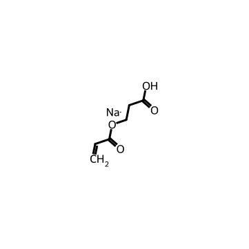 C=CC(=O)OCCC(=O)O.[Na]